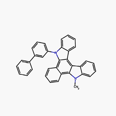 Cn1c2ccccc2c2c3c4ccccc4n(-c4cccc(-c5ccccc5)c4)c3c3ccccc3c21